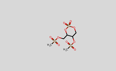 CS(=O)(=O)OCC1OS(=O)(=O)OCC1OS(C)(=O)=O